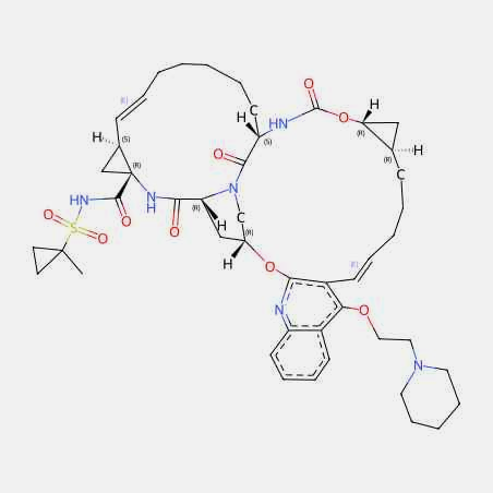 CC1(S(=O)(=O)NC(=O)[C@@]23C[C@H]2/C=C/CCCCC[C@@H]2NC(=O)O[C@@H]4C[C@H]4CCC/C=C/c4c(nc5ccccc5c4OCCN4CCCCC4)O[C@@H]4C[C@H](C(=O)N3)N(C4)C2=O)CC1